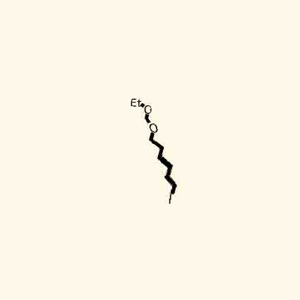 CCOCOCCC=CCCI